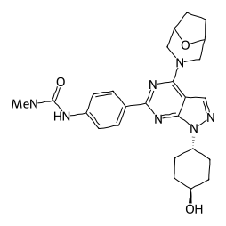 CNC(=O)Nc1ccc(-c2nc(N3CC4CCC(C3)O4)c3cnn([C@H]4CC[C@H](O)CC4)c3n2)cc1